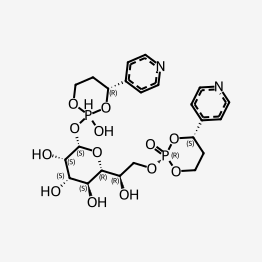 O=[P@]1(OC[C@@H](O)[C@H]2O[C@@H](O[PH]3(O)OCC[C@H](c4ccncc4)O3)[C@@H](O)[C@@H](O)[C@@H]2O)OCC[C@@H](c2ccncc2)O1